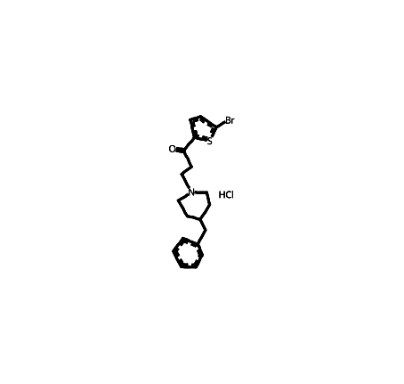 Cl.O=C(CCN1CCC(Cc2ccccc2)CC1)c1ccc(Br)s1